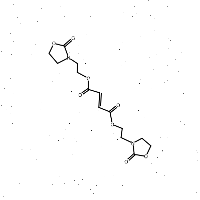 O=C(/C=C/C(=O)OCCN1CCOC1=O)OCCN1CCOC1=O